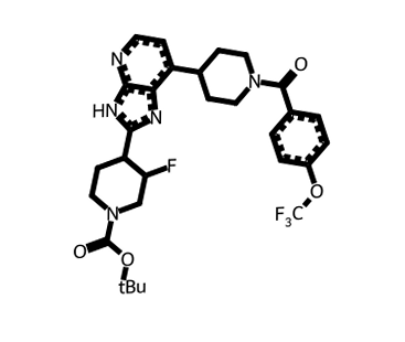 CC(C)(C)OC(=O)N1CCC(c2nc3c(C4CCN(C(=O)c5ccc(OC(F)(F)F)cc5)CC4)ccnc3[nH]2)C(F)C1